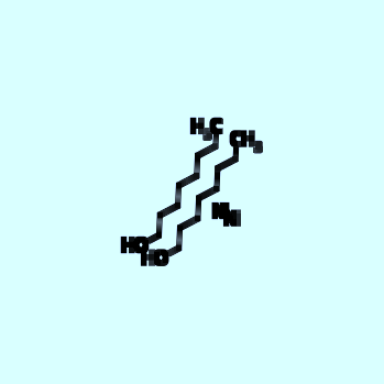 CCCCCCCCO.CCCCCCCCO.[Ni].[Ni]